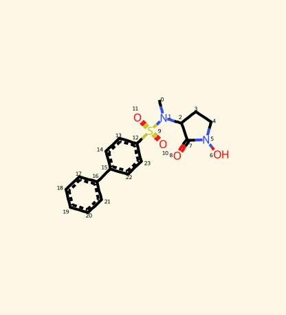 CN(C1CCN(O)C1=O)S(=O)(=O)c1ccc(-c2ccccc2)cc1